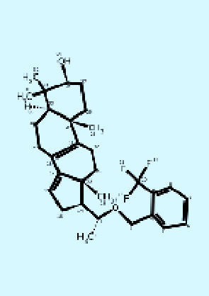 C[C@@H](OCc1ccccc1C(F)(F)F)[C@H]1CC=C2C3=C(CC[C@@]21C)[C@@]1(C)CC[C@H](O)C(C)(C)[C@@H]1CC3